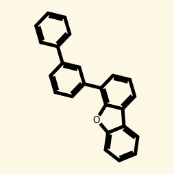 c1ccc(-c2cccc(-c3cccc4c3oc3ccccc34)c2)cc1